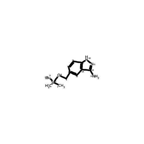 CC(C)(C)[Si](C)(C)OCc1ccc2[nH]nc(N)c2c1